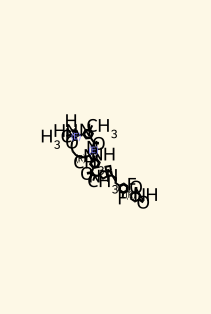 CN/C1=C(\C=N)c2cc(cc(C)n2)C(=O)/N=C2\Nc3ccc(C(=O)N(C)C4CC5N(CCc6cc(F)c([C@H]7CCC(=O)NC7=O)c(F)c6)C6CCC65C4)cc3N2C[C@H](C)CCCO1